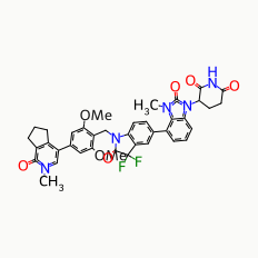 COc1cc(-c2cn(C)c(=O)c3c2CCC3)cc(OC)c1CN1C(=O)C(F)(F)c2cc(-c3cccc4c3n(C)c(=O)n4C3CCC(=O)NC3=O)ccc21